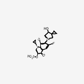 O=C(O)Oc1cn(C2CC2)c2c(Cl)c(N3CC(O)C4(CC4)C3)c(F)cc2c1=O